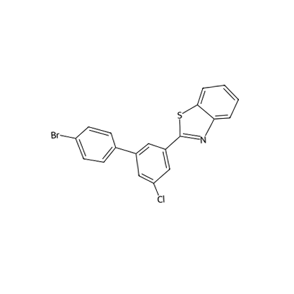 Clc1cc(-c2ccc(Br)cc2)cc(-c2nc3ccccc3s2)c1